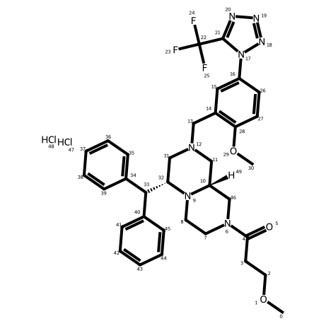 COCCC(=O)N1CCN2[C@H](CN(Cc3cc(-n4nnnc4C(F)(F)F)ccc3OC)C[C@H]2C(c2ccccc2)c2ccccc2)C1.Cl.Cl